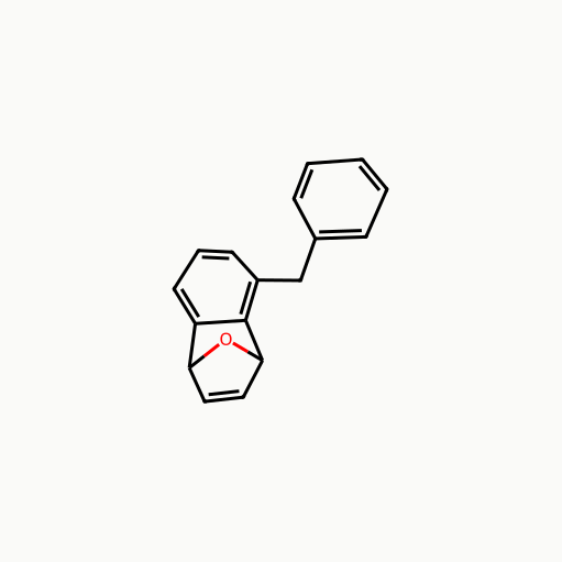 C1=CC2OC1c1cccc(Cc3ccccc3)c12